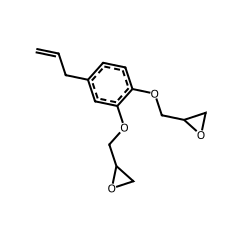 C=CCc1ccc(OCC2CO2)c(OCC2CO2)c1